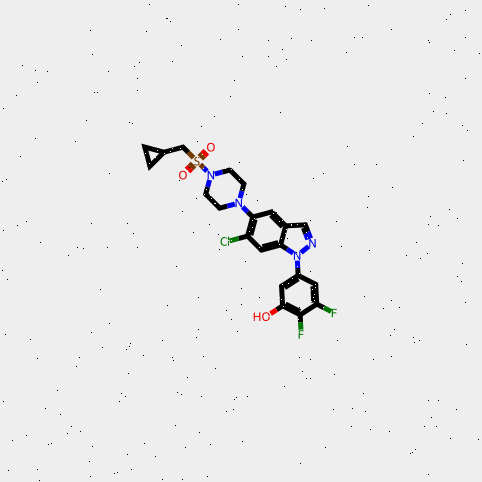 O=S(=O)(CC1CC1)N1CCN(c2cc3cnn(-c4cc(O)c(F)c(F)c4)c3cc2Cl)CC1